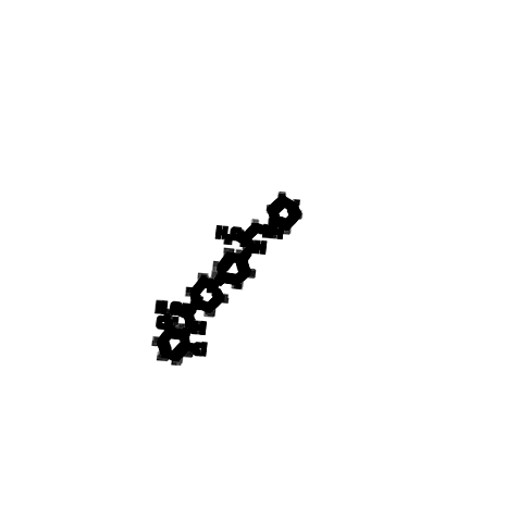 C=C(CNc1ccccc1)Nc1ccc(N2CCN(C(=C)Nc3c(Cl)cccc3Cl)CC2)cc1